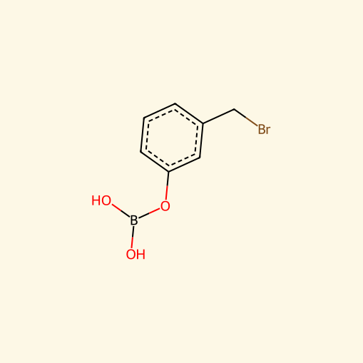 OB(O)Oc1cccc(CBr)c1